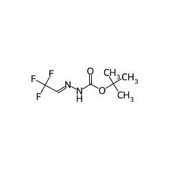 CC(C)(C)OC(=O)NN=CC(F)(F)F